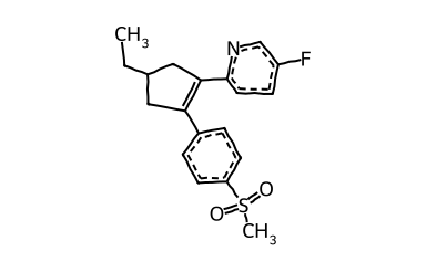 CCC1CC(c2ccc(S(C)(=O)=O)cc2)=C(c2ccc(F)cn2)C1